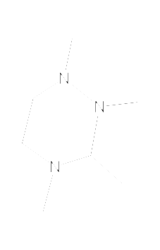 CC1N(C)CCN(C)N1C